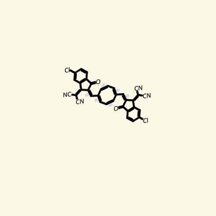 N#CC(C#N)=C1/C(=C/C2=C/C=C\C(\C=C3/C(=O)c4ccc(Cl)cc4C3=C(C#N)C#N)=C/C=C\2)C(=O)c2ccc(Cl)cc21